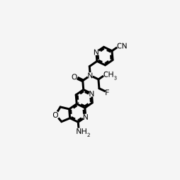 CC(CF)N(Cc1ccc(C#N)cn1)C(=O)c1cc2c3c(c(N)nc2cn1)COC3